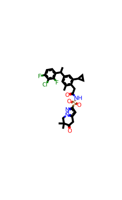 Cc1cc(C(C)c2ccc(F)c(Cl)c2F)cc(C2CC2)c1CC(=O)NS(=O)(=O)c1cc2n(n1)CC(C)(C)C(=O)C2